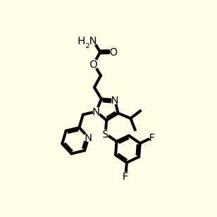 CC(C)c1nc(CCOC(N)=O)n(Cc2ccccn2)c1Sc1cc(F)cc(F)c1